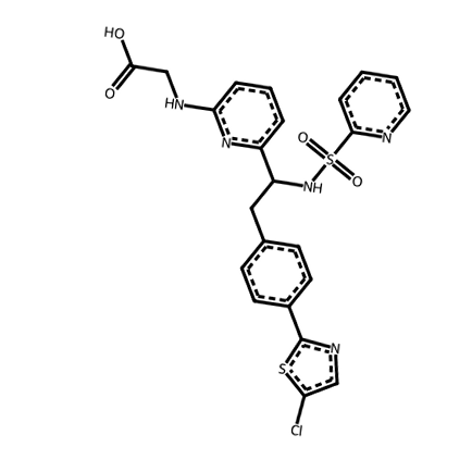 O=C(O)CNc1cccc(C(Cc2ccc(-c3ncc(Cl)s3)cc2)NS(=O)(=O)c2ccccn2)n1